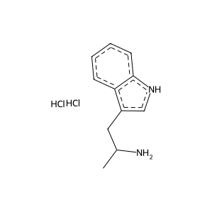 CC(N)Cc1c[nH]c2ccccc12.Cl.Cl